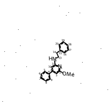 COc1cc(-c2ccccc2)cc(NCCc2ccccc2)n1